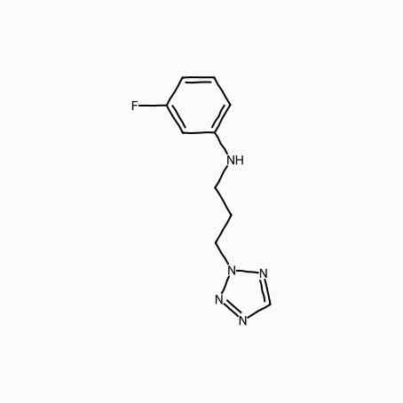 Fc1cccc(NCCCn2ncnn2)c1